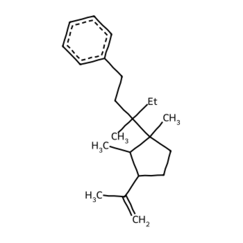 C=C(C)C1CCC(C)(C(C)(CC)CCc2ccccc2)C1C